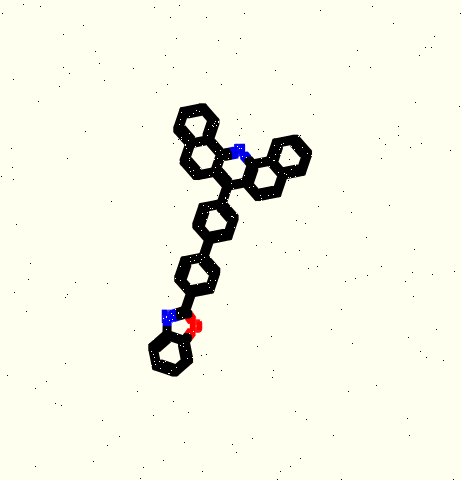 c1ccc2c(c1)ccc1c(-c3ccc(-c4ccc(-c5nc6ccccc6o5)cc4)cc3)c3ccc4ccccc4c3nc12